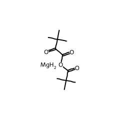 CC(C)(C)C(=O)OC(=O)C(=O)C(C)(C)C.[MgH2]